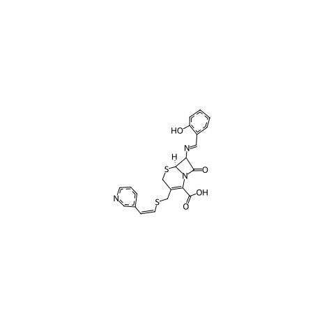 O=C(O)C1=C(CS/C=C\c2cccnc2)CS[C@H]2C(N=Cc3ccccc3O)C(=O)N12